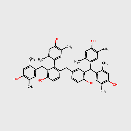 Cc1cc(Cc2c(O)ccc(Cc3ccc(O)c(C(c4cc(C)c(O)cc4C)c4cc(C)c(O)cc4C)c3)c2-c2cc(C)c(O)cc2C)c(C)cc1O